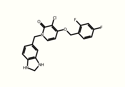 O=c1c(Cl)c(OCc2ccc(F)cc2F)ccn1Cc1ccc2c(c1)NCN2